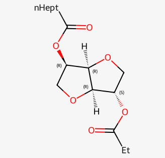 CCCCCCCC(=O)O[C@@H]1CO[C@H]2[C@@H]1OC[C@@H]2OC(=O)CC